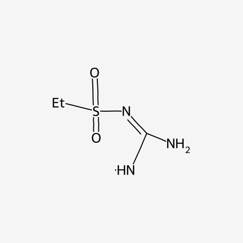 CCS(=O)(=O)/N=C(\[NH])N